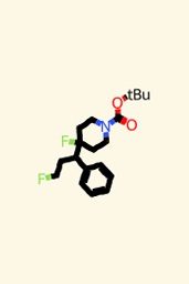 CC(C)(C)OC(=O)N1CCC(F)(C(CCF)c2ccccc2)CC1